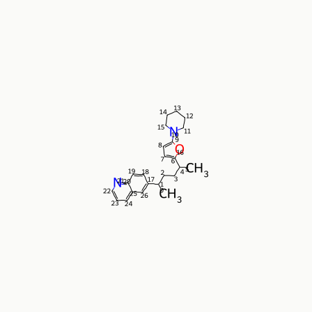 CC(CCC(C)c1ccc(N2CCCCC2)o1)c1ccc2ncccc2c1